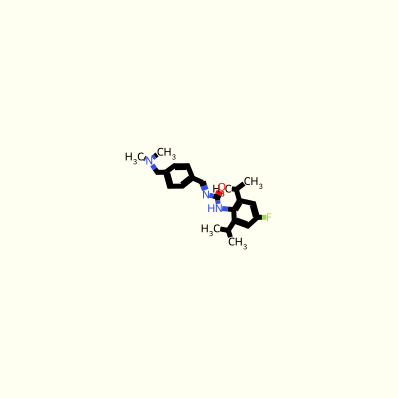 CC(C)c1cc(F)cc(C(C)C)c1NC(=O)/N=C/c1ccc(CN(C)C)cc1